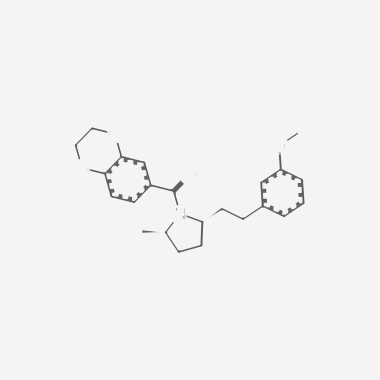 COc1cccc(CC[C@H]2CC[C@@H](C)N2C(=O)c2ccc3c(c2)OCCO3)c1